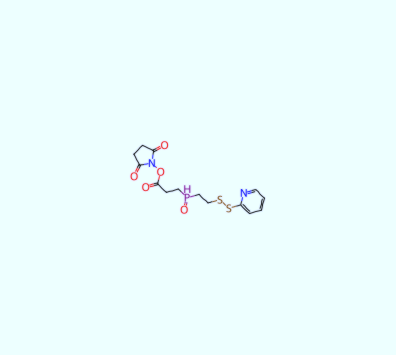 O=C(CC[PH](=O)CCSSc1ccccn1)ON1C(=O)CCC1=O